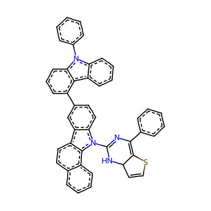 C1=CC2NC(n3c4ccc(-c5cccc6c5c5ccccc5n6-c5ccccc5)cc4c4ccc5ccccc5c43)=NC(c3ccccc3)=C2S1